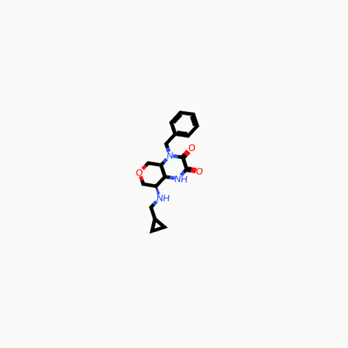 O=C1NC2C(COC[C@@H]2NCC2CC2)N(Cc2ccccc2)C1=O